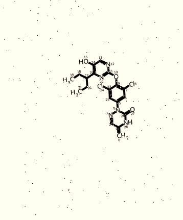 C=C1C=NN(c2cc(Cl)c(Oc3ncc(O)c(C(CC)CC)n3)c(Cl)c2)C(=O)N1